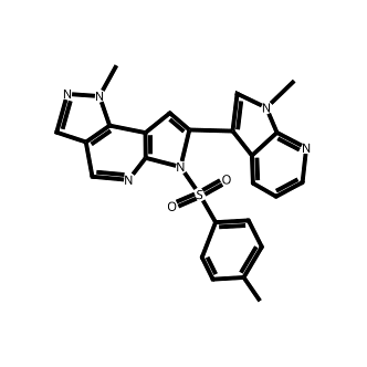 Cc1ccc(S(=O)(=O)n2c(-c3cn(C)c4ncccc34)cc3c4c(cnc32)cnn4C)cc1